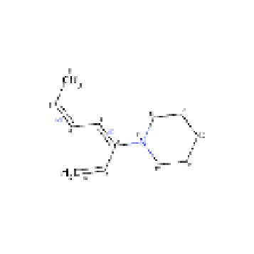 C=C/C(=C\C=C/C)N1CCCCC1